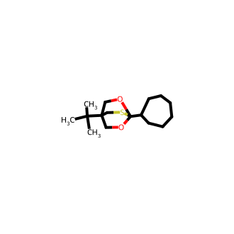 CC(C)(C)C12COC(C3CCCCCC3)(OC1)SC2